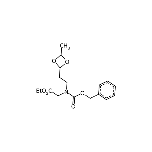 CCOC(=O)CN(CCC1OC(C)O1)C(=O)OCc1ccccc1